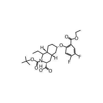 CCOC(=O)c1cc(F)c(F)cc1O[C@H]1CC[C@H]2C(CC)N(C(=O)OC(C)(C)C)[C@H](C(=O)O)C[C@H]2C1